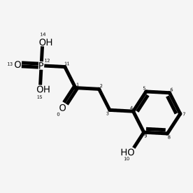 O=C(CCc1ccccc1O)CP(=O)(O)O